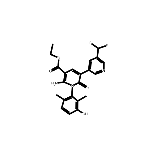 CCOC(=O)c1cc(-c2cncc(C(F)F)c2)c(=O)n(-c2c(C)ccc(O)c2C)c1N